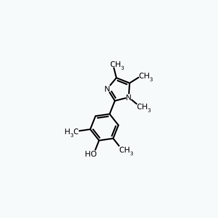 Cc1cc(-c2nc(C)c(C)n2C)cc(C)c1O